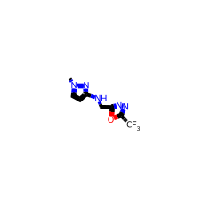 Cn1ccc(NCc2nnc(C(F)(F)F)o2)n1